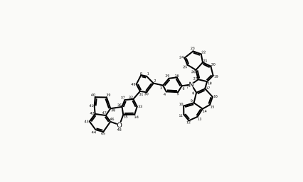 c1cc(-c2ccc(-n3c4c5ccccc5ccc4c4ccc5ccccc5c43)cc2)cc(-c2ccc3c(c2)-c2cccc4cccc(c24)O3)c1